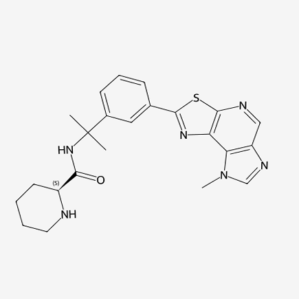 Cn1cnc2cnc3sc(-c4cccc(C(C)(C)NC(=O)[C@@H]5CCCCN5)c4)nc3c21